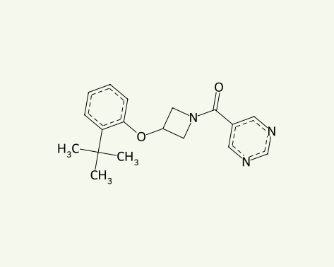 CC(C)(C)c1ccccc1OC1CN(C(=O)c2cncnc2)C1